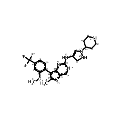 COc1cc(C(F)(F)F)ccc1-c1c(C)sc2cnc(NC3=CN(C4CCNCC4)NC3)nc12